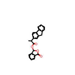 CC(C(=O)OC1OC(=O)c2ccccc21)c1ccc2c(c1)Cc1ccccc1-2